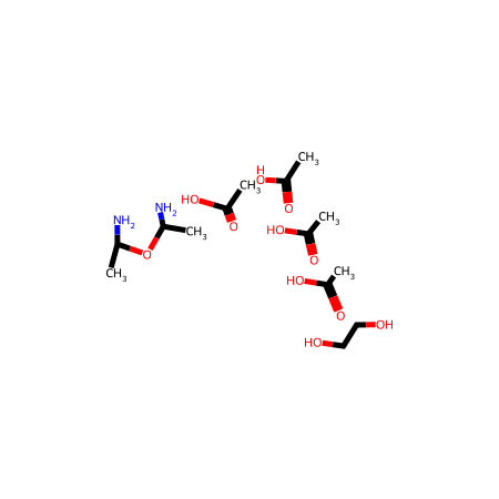 CC(=O)O.CC(=O)O.CC(=O)O.CC(=O)O.CC(N)OC(C)N.OCCO